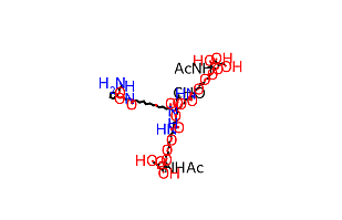 CC(=O)NC1C(O)CC(CO)OC1OCCOCCOCCNC(=O)CCOCC(COCCC=O)(COCCC(=O)NCCOCCOCCOC1OC(CO)C(O)C(O)C1NC(C)=O)NC(=O)CCCCCCCCCCC(=O)NCCOC1(OCCN)CCCC1